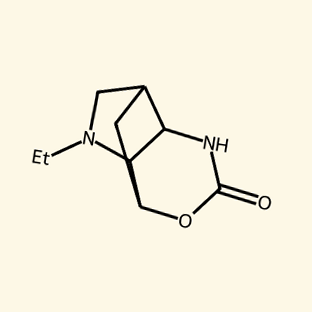 CCN1CC2CC3OC(=O)NC2C31